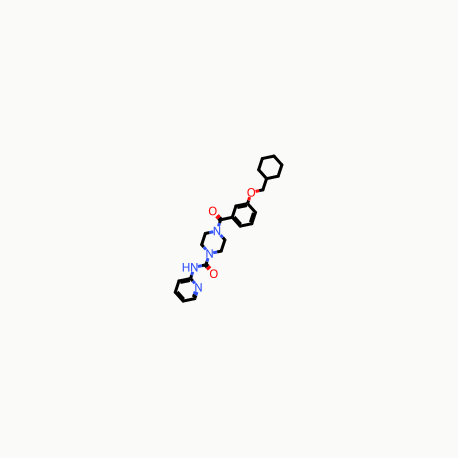 O=C(Nc1ccccn1)N1CCN(C(=O)c2cccc(OCC3CCCCC3)c2)CC1